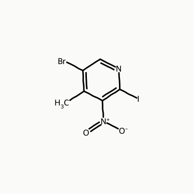 Cc1c(Br)cnc(I)c1[N+](=O)[O-]